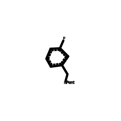 CCCCCCc1cccc(F)c1